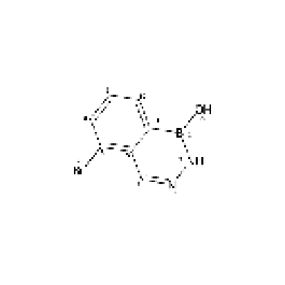 OB1NN=Cc2c(Br)cccc21